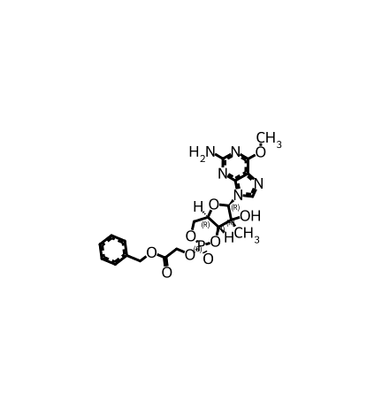 COc1nc(N)nc2c1ncn2[C@@H]1O[C@@H]2CO[P@@](=O)(OCC(=O)OCc3ccccc3)O[C@H]2[C@@]1(C)O